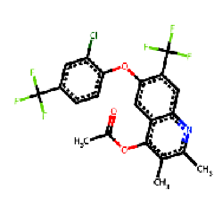 CC(=O)Oc1c(C)c(C)nc2cc(C(F)(F)F)c(Oc3ccc(C(F)(F)F)cc3Cl)cc12